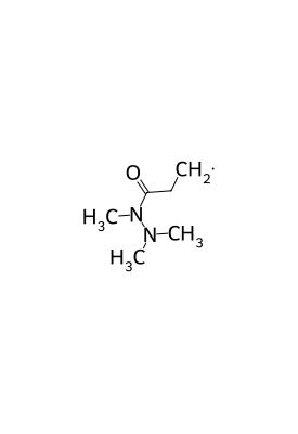 [CH2]CC(=O)N(C)N(C)C